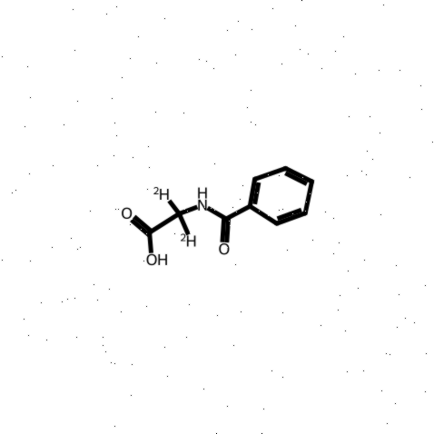 [2H]C([2H])(NC(=O)c1ccccc1)C(=O)O